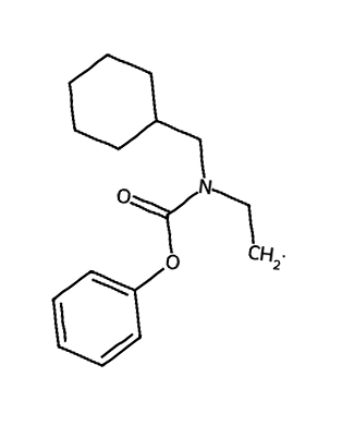 [CH2]CN(CC1CCCCC1)C(=O)Oc1ccccc1